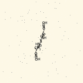 C=CC(/C=C/c1ccc(N2CCC(O)CC2)cc1)=C\C=N\CC(=O)NCCSSCCNC(=O)C[n+]1ccc(/C=C/c2ccc(N3CCC(O)CC3)cc2)cc1